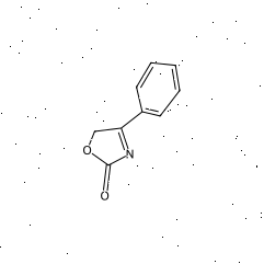 O=C1N=C(c2cc[c]cc2)CO1